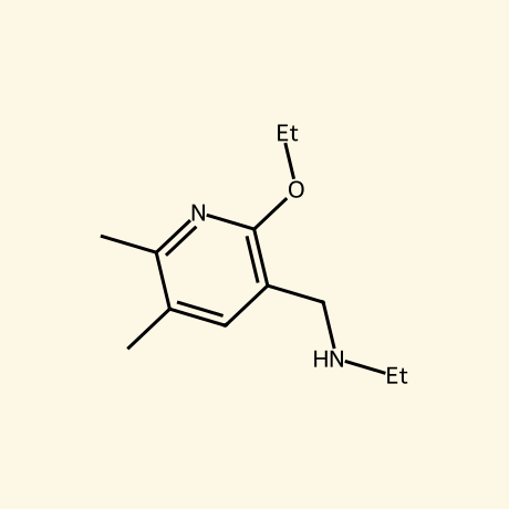 CCNCc1cc(C)c(C)nc1OCC